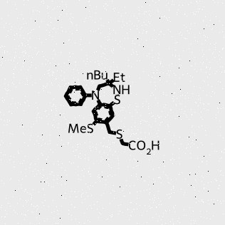 CCCCC1(CC)CN(c2ccccc2)c2cc(SC)c(CSCC(=O)O)cc2SN1